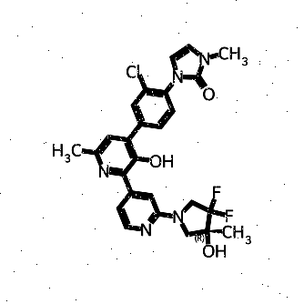 Cc1cc(-c2ccc(-n3ccn(C)c3=O)c(Cl)c2)c(O)c(-c2ccnc(N3CC(F)(F)[C@](C)(O)C3)c2)n1